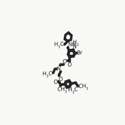 CCCN(CCOC(=O)c1cc(Br)c(N)c(CNC2(CC)CCCCC2)c1)CCOC(=O)C(C)c1ccc(CC(C)C)cc1